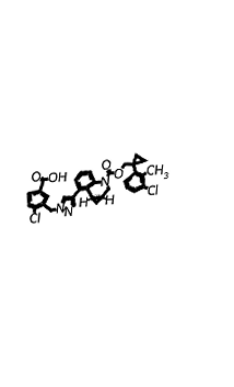 Cc1c(Cl)cccc1C1(COC(=O)N2C[C@@H]3C[C@@H]3c3c(-c4cnn(Cc5cc(C(=O)O)ccc5Cl)c4)cccc32)CC1